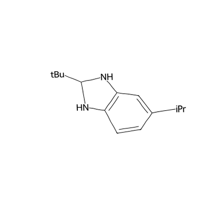 CC(C)c1ccc2c(c1)NC(C(C)(C)C)N2